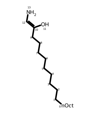 CCCCCCCCCCCCCCCCC/C(O)=C/N